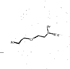 CCN(CCOCCC(C)=O)C(C)C